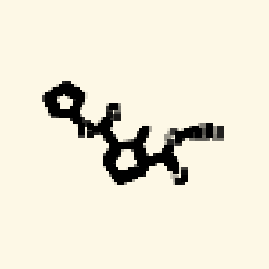 CCCCOC(=O)c1cccc(C(=O)OC2C=CC=C2)c1C